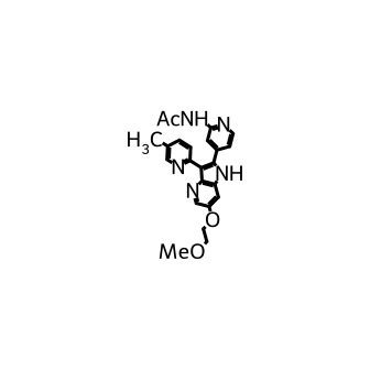 COCCOc1cnc2c(-c3ccc(C)cn3)c(-c3ccnc(NC(C)=O)c3)[nH]c2c1